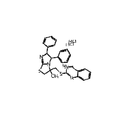 Cl.Cl.OC1(CSC2=Nc3ccccc3CN2)CSC2=NC(c3ccccc3)C(c3ccccc3)N21